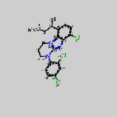 CCC(COC)c1ccc(Cl)c2nc3n(c12)CCCN3c1ccc(Cl)cc1Cl